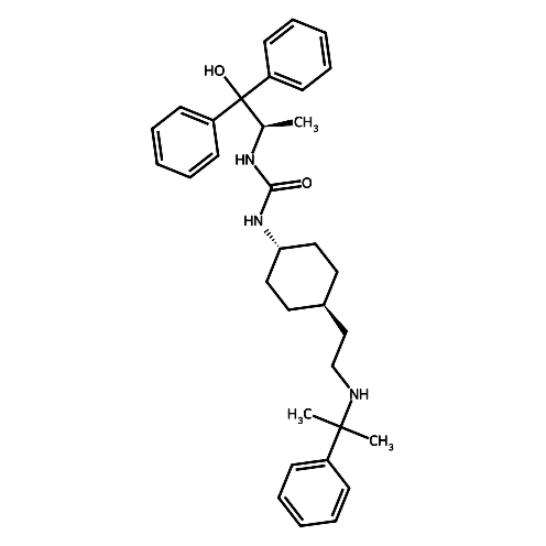 C[C@@H](NC(=O)N[C@H]1CC[C@H](CCNC(C)(C)c2ccccc2)CC1)C(O)(c1ccccc1)c1ccccc1